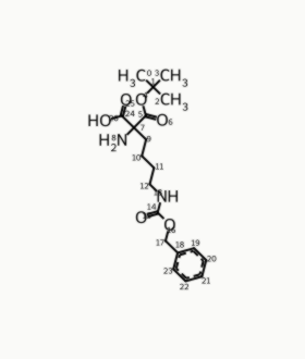 CC(C)(C)OC(=O)C(N)(CCCCNC(=O)OCc1ccccc1)C(=O)O